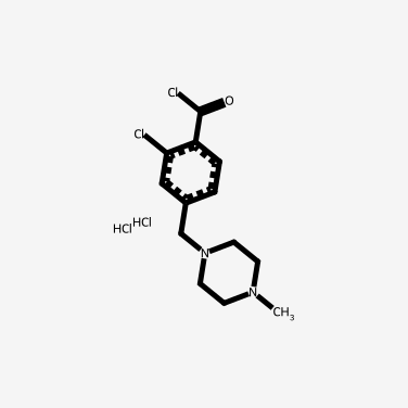 CN1CCN(Cc2ccc(C(=O)Cl)c(Cl)c2)CC1.Cl.Cl